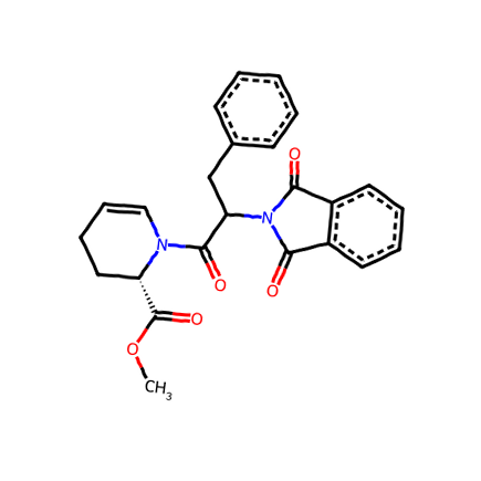 COC(=O)[C@@H]1CCC=CN1C(=O)C(Cc1ccccc1)N1C(=O)c2ccccc2C1=O